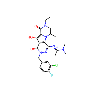 CCN1CC(C)n2c(c(O)c3c(=O)n(Cc4ccc(F)c(Cl)c4)nc(/N=C(\C)N(C)C)c32)C1=O